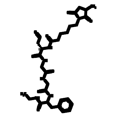 CCNC(=O)C(Cc1ccccc1)NC(=O)CNC(=O)CNC(=O)[C@H](CC=O)NC(=O)CCCCCN1C(=O)CC(C)C1=O